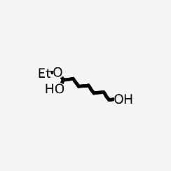 CCOC(O)CCCCCCO